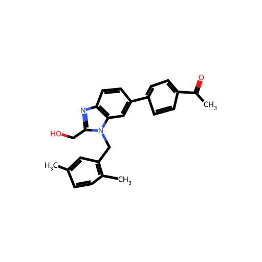 CC(=O)c1ccc(-c2ccc3nc(CO)n(Cc4cc(C)ccc4C)c3c2)cc1